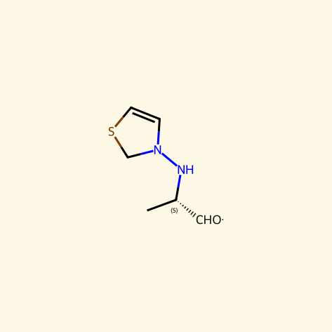 C[C@@H]([C]=O)NN1C=CSC1